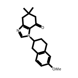 COc1ccc2c(c1)CCC(n1cnc3c1C(=O)CC(C)(C)C3)C2